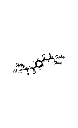 CSN(SC)C(=S)NC(=O)c1ccc(C(=O)NC(=S)N(SC)SC)cc1